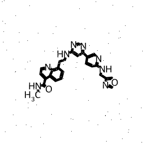 CNC(=O)c1ccnc2c(CCNc3cc(-c4ccc(NCc5cocn5)nc4)ncn3)cccc12